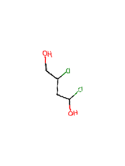 OCC(Cl)CC(O)Cl